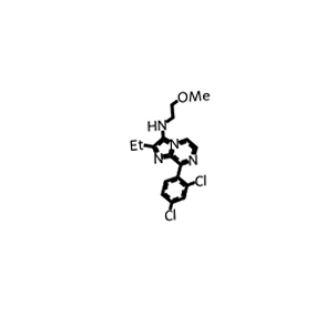 CCc1nc2c(-c3ccc(Cl)cc3Cl)nccn2c1NCCOC